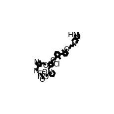 Cc1c(COc2cc(OCc3cncc(C#N)c3)c(CN3CCCC[C@H]3C(=O)OC(=O)C(F)(F)F)cc2Cl)cccc1-c1cccc(OCCCN2CCC3(CCCNC3)CC2)c1C